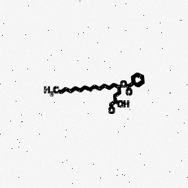 CCCCCCCCCCCCCC(CCC(O)C=O)OC(=O)c1ccccc1